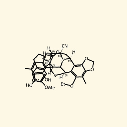 CCOc1c(C)c2c(c3c1[C@H]1SC[C@]4(NCCc5cc(O)c(OC)cc54)C(=O)OC[C@@H]3N3C1[C@@H]1c4c(cc(C)c(OC)c4O)C[C@H]([C@@H]3C#N)N1C)OCO2